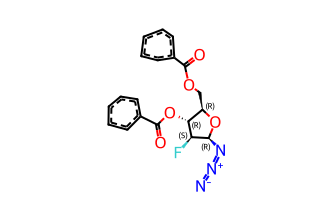 [N-]=[N+]=N[C@@H]1O[C@H](COC(=O)c2ccccc2)[C@@H](OC(=O)c2ccccc2)[C@@H]1F